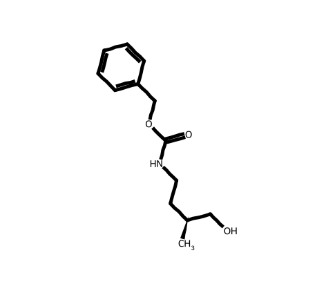 C[C@H](CO)CCNC(=O)OCc1ccccc1